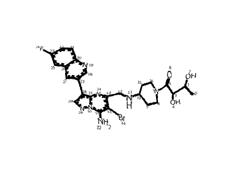 CC(O)C(O)C(=O)N1CCC(NCc2nc3c(-c4cnc5ccc(F)cc5c4)cnn3c(N)c2Br)CC1